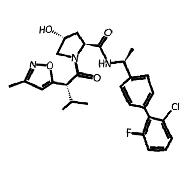 Cc1cc([C@H](C(=O)N2C[C@H](O)C[C@H]2C(=O)N[C@@H](C)c2ccc(-c3c(F)cccc3Cl)cc2)C(C)C)on1